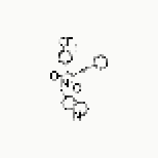 O=C1C(C#Cc2ccccc2)=C(c2ccc(C(F)(F)F)cc2)C(=O)N1Cc1ccc2ncccc2c1